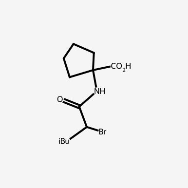 CCC(C)C(Br)C(=O)NC1(C(=O)O)CCCC1